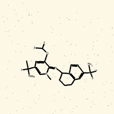 CNC(C)(F)c1cc(OC(F)F)/c(=N/C2CCCc3cc(C(F)(F)P)ccc32)n(C)c1